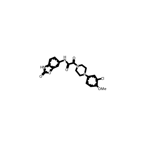 COc1ccc(N2CCN(C(=O)C(=O)Nc3ccc4[nH]c(=O)oc4c3)CC2)cc1Cl